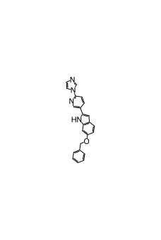 c1ccc(COc2ccc3cc(-c4ccc(-n5ccnc5)nc4)[nH]c3c2)cc1